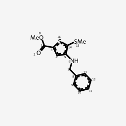 COC(=O)c1cc(NCc2ccccc2)c(SC)s1